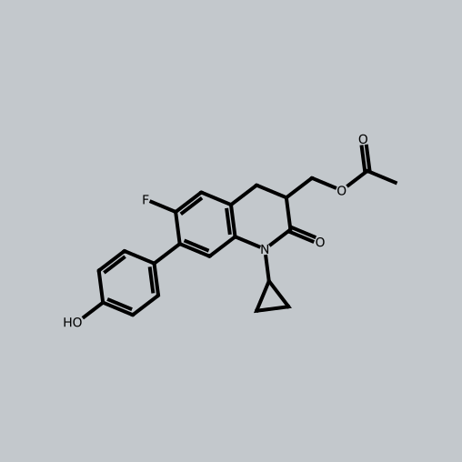 CC(=O)OCC1Cc2cc(F)c(-c3ccc(O)cc3)cc2N(C2CC2)C1=O